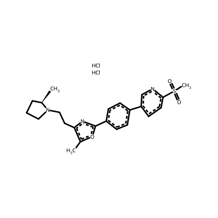 Cc1oc(-c2ccc(-c3ccc(S(C)(=O)=O)nc3)cc2)nc1CCN1CCC[C@H]1C.Cl.Cl